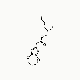 CCCCC(CC)COC(=O)Cn1cc2c(c1)OCCCO2